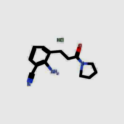 Cl.N#Cc1cccc(CCC(=O)N2CCCC2)c1N